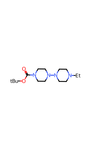 CCN1CCN(N2CCN(C(=O)OC(C)(C)C)CC2)CC1